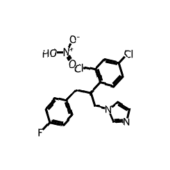 Fc1ccc(CC(Cn2ccnc2)c2ccc(Cl)cc2Cl)cc1.O=[N+]([O-])O